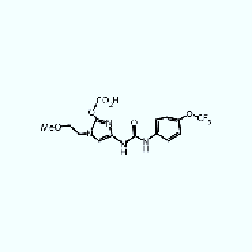 COCCn1cc(NC(=O)Nc2ccc(OC(F)(F)F)cc2)nc1OC(=O)O